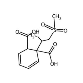 CC(CS(C)(=O)=O)C1(C(=O)O)C=CC=CC1C(=O)O